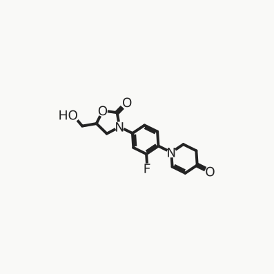 O=C1C=CN(c2ccc(N3CC(CO)OC3=O)cc2F)CC1